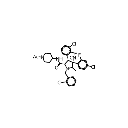 CC(=O)N1CCC(NC(=O)[C@H]2[C@H](c3cccc(Cl)c3F)[C@@](C#N)(c3ccc(Cl)cc3F)C(C)N2Cc2ccccc2Cl)CC1